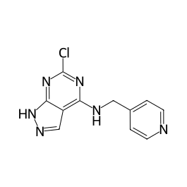 Clc1nc(NCc2ccncc2)c2cn[nH]c2n1